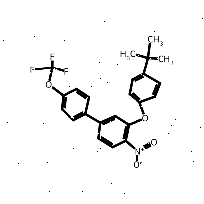 CC(C)(C)c1ccc(Oc2cc(-c3ccc(OC(F)(F)F)cc3)ccc2[N+](=O)[O-])cc1